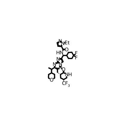 CCn1nccc1C(=O)N[C@H](c1cn2nc(C[C@H]3C[C@@H](C(F)(F)F)CNC3=O)c(C(C)C3CCOCC3)nc2n1)C1CCC(F)(F)CC1